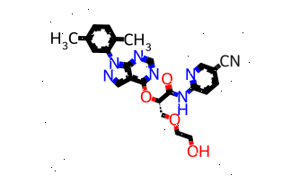 Cc1ccc(C)c(-n2ncc3c(O[C@@H](COCCO)C(=O)Nc4ccc(C#N)cn4)ncnc32)c1